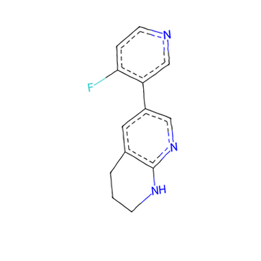 Fc1ccncc1-c1cnc2c(c1)CCCN2